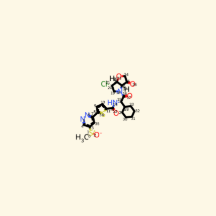 C[S+]([O-])c1cnnc(-c2ccc(C(=O)N[C@H](C(=O)N3C[C@H](Cl)[C@H]4OCC(=O)[C@H]43)C3CCCCC3)s2)c1